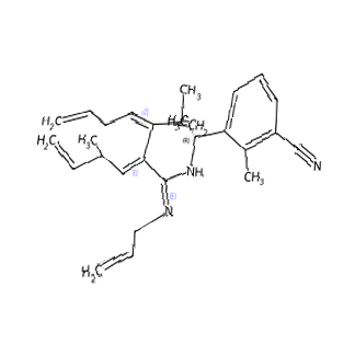 C=CC\C=C(C(=C)C)/C(=C\C(C)C=C)C(=N\CC=C)/N[C@H](C)c1cccc(C#N)c1C